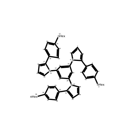 CCCCCCc1ccc(-c2cccn2-c2cc(-n3cccc3-c3ccc(CCCCCC)cc3)cc(-n3cccc3-c3ccc(CCCCCC)cc3)c2)cc1